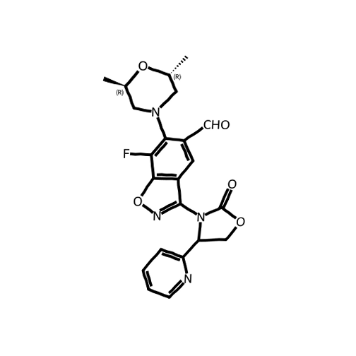 C[C@@H]1CN(c2c(C=O)cc3c(N4C(=O)OCC4c4ccccn4)noc3c2F)C[C@@H](C)O1